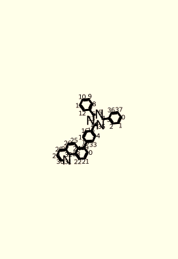 c1ccc(-c2nc(-c3ccccc3)nc(-c3ccc(-c4cccc5c4ccc4cccnc45)cc3)n2)cc1